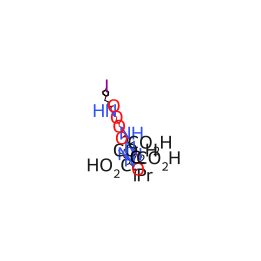 CC(C)C(=O)CCC(C(=O)O)N1CCN(CC(=O)O)CCN(C(CCC(=O)NCCOCCOCCNC(=O)CCCc2ccc(I)cc2)C(=O)O)CCN(CC(=O)O)CC1